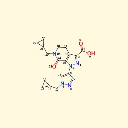 O=C(O)c1nn(-c2cnn(CC3CC3)c2)c2c1CCN(CC1CC1)C2=O